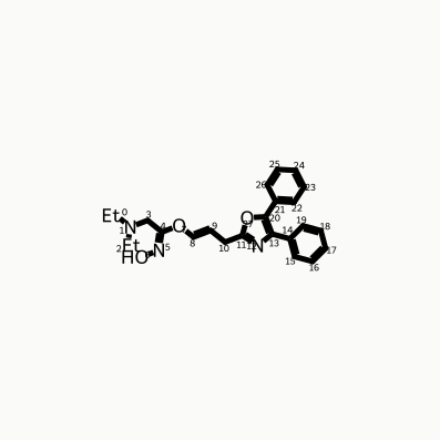 CCN(CC)CC(=NO)OC=CCc1nc(-c2ccccc2)c(-c2ccccc2)o1